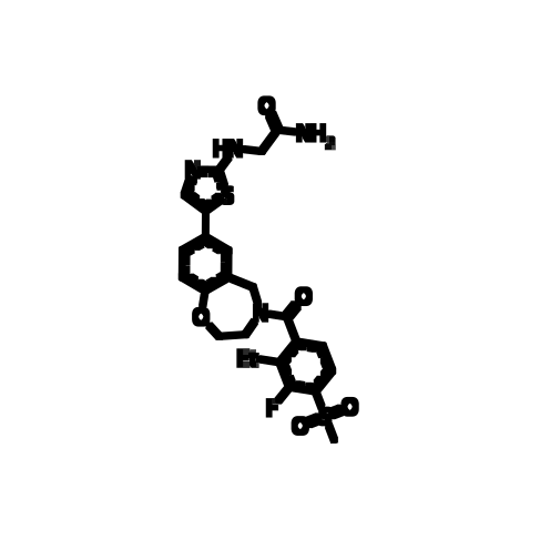 CCc1c(C(=O)N2CCOc3ccc(-c4cnc(NCC(N)=O)s4)cc3C2)ccc(S(C)(=O)=O)c1F